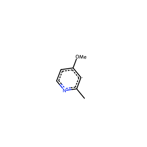 COc1[c]c(C)ncc1